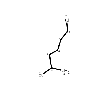 [CH2]C(CC)CCCCCl